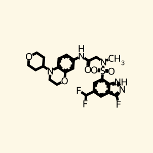 CN(CC(=O)Nc1ccc2c(c1)OCCN2C1CCOCC1)S(=O)(=O)c1cc(C(F)F)cc2c(F)n[nH]c12